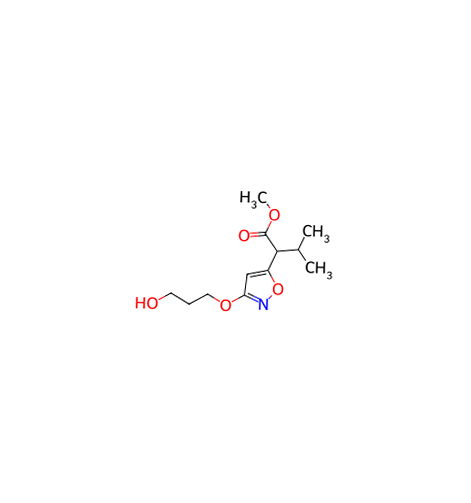 COC(=O)C(c1cc(OCCCO)no1)C(C)C